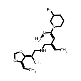 C=N/C(=C\C(=C/C)CNC/C(C)=C1\OCO\C1=C\C)N1CCCC(CC)C1